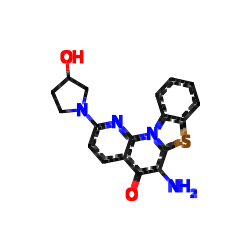 Nc1c(=O)c2ccc(N3CCC(O)C3)nc2n2c1sc1ccccc12